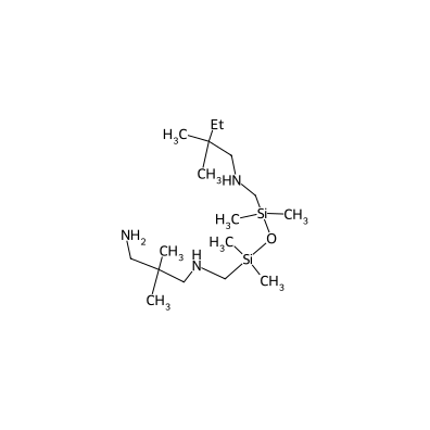 CCC(C)(C)CNC[Si](C)(C)O[Si](C)(C)CNCC(C)(C)CN